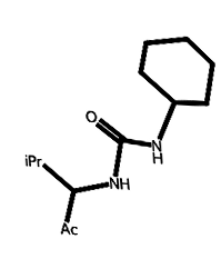 CC(=O)C(NC(=O)NC1CCCCC1)C(C)C